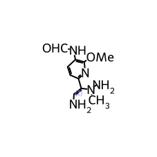 COc1nc(/C(=C/N)N(C)N)ccc1NC=O